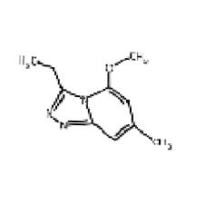 CCc1nnc2cc(C)cc(OC)n12